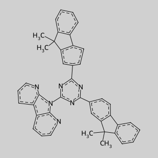 CC1(C)c2ccccc2-c2ccc(-c3nc(-c4ccc5c(c4)C(C)(C)c4ccccc4-5)nc(-n4c5ncccc5c5cccnc54)n3)cc21